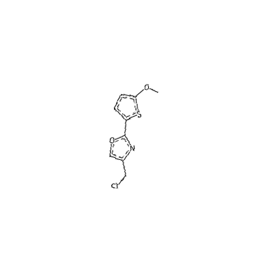 COc1ccc(-c2nc(CCl)co2)s1